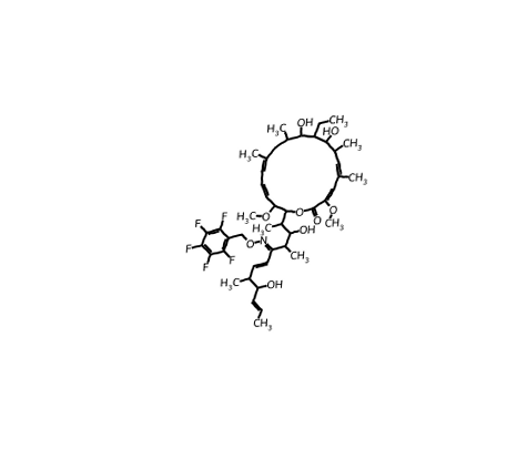 CC=CC(O)C(C)C=CC(=NOCc1c(F)c(F)c(F)c(F)c1F)C(C)C(O)C(C)C1OC(=O)C(OC)=CC(C)=CC(C)C(O)C(CC)C(O)C(C)CC(C)=CC=CC1OC